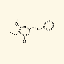 CCc1c(OC)cc(C=Cc2ccccc2)cc1OC